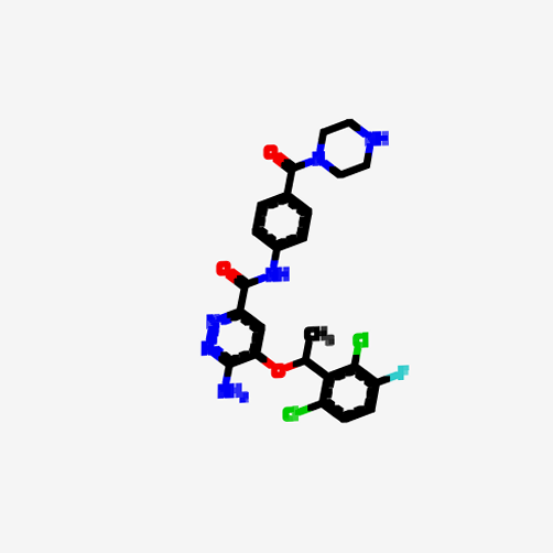 CC(Oc1cc(C(=O)Nc2ccc(C(=O)N3CCNCC3)cc2)nnc1N)c1c(Cl)ccc(F)c1Cl